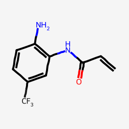 C=CC(=O)Nc1cc(C(F)(F)F)ccc1N